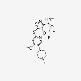 CNC(=O)c1nsc(Sc2cc(OC)c(N3CCN(C)CC3)cn2)c1OC(F)(F)F